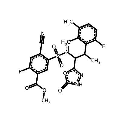 COC(=O)c1cc(S(=O)(=O)NC(c2n[nH]c(=O)o2)C(C)c2c(F)ccc(C)c2C)c(C#N)cc1F